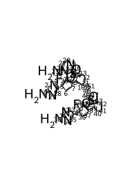 Nc1cnc(-c2ccc(-c3ccccc3S(=O)(=O)c3nccc(N)n3)cc2F)cn1.Nc1ncc(-c2ccc(-c3ccccc3S(=O)(=O)CC3CC3)cc2F)cn1